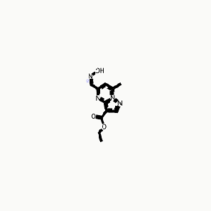 CCOC(=O)c1cnn2c(C)cc(/C=N\O)nc12